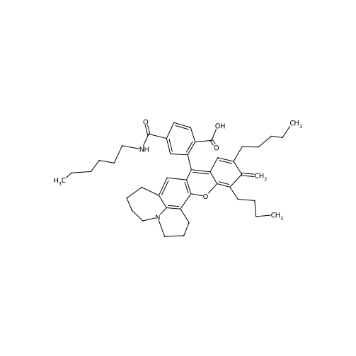 C=c1c(CCCCC)cc2c(c1CCCC)Oc1c(cc3c4c1CCCN4CCCC3)C=2c1cc(C(=O)NCCCCCC)ccc1C(=O)O